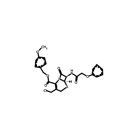 COc1ccc(COC(=O)C2=C(CCl)CS[C@@H]3[C@H](NC(=O)COc4ccccc4)C(=O)N23)cc1